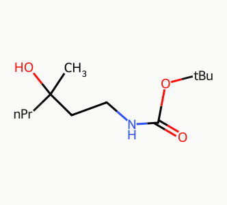 CCCC(C)(O)CCNC(=O)OC(C)(C)C